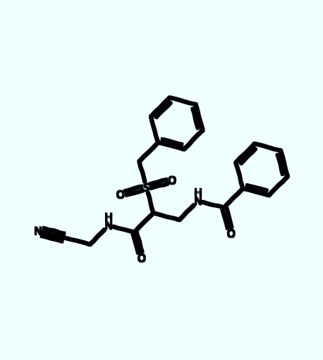 N#CCNC(=O)C(CNC(=O)c1ccccc1)S(=O)(=O)Cc1ccccc1